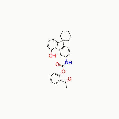 CC(=O)c1ccccc1OC(=O)Nc1ccc(C2(c3cccc(O)c3)CCCCC2)cc1